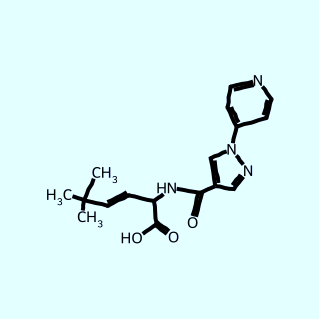 CC(C)(C)/C=C/C(NC(=O)c1cnn(-c2ccncc2)c1)C(=O)O